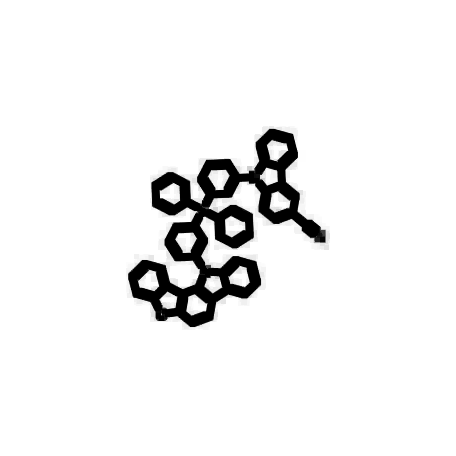 N#Cc1ccc2c(c1)c1ccccc1n2-c1cccc([Si](c2ccccc2)(c2ccccc2)c2cccc(-n3c4ccccc4c4ccc5oc6ccccc6c5c43)c2)c1